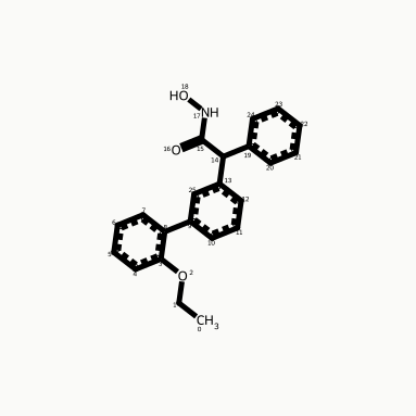 CCOc1ccccc1-c1cccc(C(C(=O)NO)c2ccccc2)c1